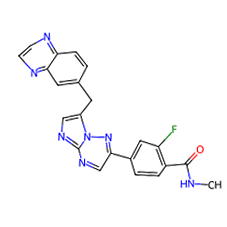 CNC(=O)c1ccc(-c2cnc3ncc(Cc4ccc5nccnc5c4)n3n2)cc1F